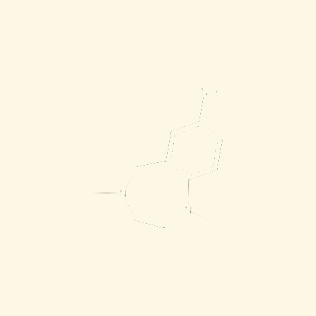 CN1CCN(C)c2ccc([N+](=O)[O-])cc2C1